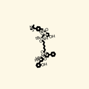 Cc1ncsc1-c1ccc(CNC(=O)[C@@H]2C[C@@H](O)CN2C(=O)[C@@H](NC(=O)CCCCCC(=O)N2CC(OC3=C(N)NNC(c4ccccc4O)=C3)CC(c3ccccc3)C2)C(C)(C)C)cc1